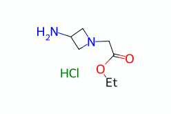 CCOC(=O)CN1CC(N)C1.Cl